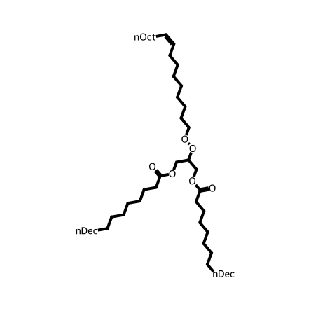 CCCCCCCC/C=C\CCCCCCCCOOC(COC(=O)CCCCCCCCCCCCCCCCC)COC(=O)CCCCCCCCCCCCCCCCC